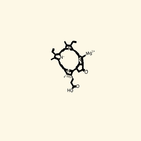 C=Cc1c(C)c2cc3nc(c4c5[n-]c(cc6nc(cc1[n-]2)C(C)=C6CC)c(C)c5C(=O)C4)[C@@H](CCC(=O)O)[C@@H]3C.[Mg+2]